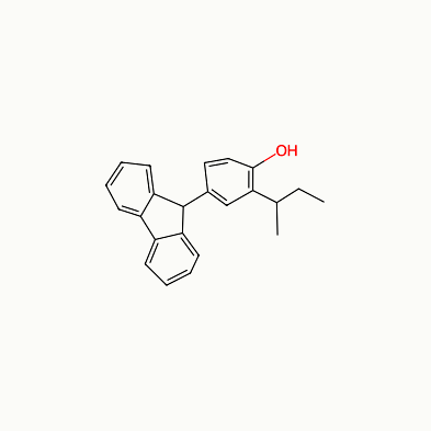 CCC(C)c1cc(C2c3ccccc3-c3ccccc32)ccc1O